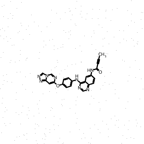 CC#CC(=O)Nc1ccc2ncnc(Nc3ccc(Oc4cc5nncn5cn4)cc3)c2c1